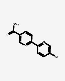 COC(=O)c1ccc(-c2ccc(C(C)=O)cn2)nc1